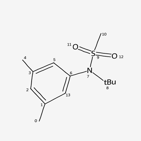 Cc1cc(C)cc(N(C(C)(C)C)S(C)(=O)=O)c1